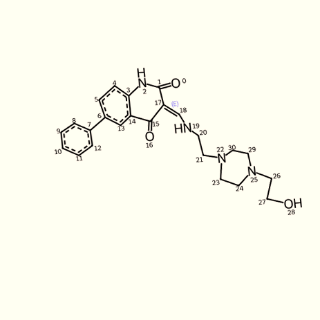 O=C1Nc2ccc(-c3ccccc3)cc2C(=O)/C1=C\NCCN1CCN(CCO)CC1